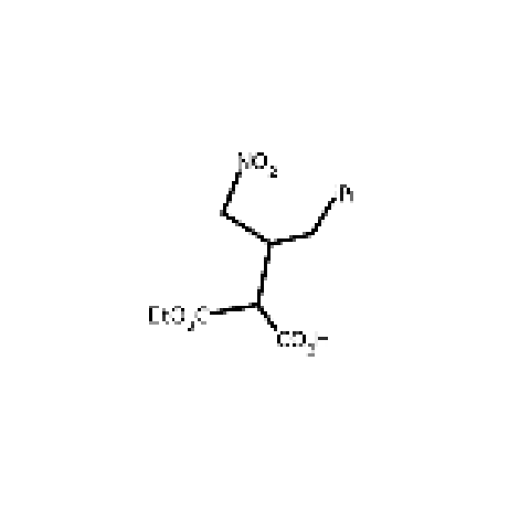 CCOC(=O)C(C(=O)O)C(CC(C)C)C[N+](=O)[O-]